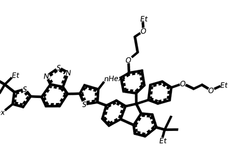 CCCCCCc1cc(-c2ccc(-c3cc(CCCCCC)c(C(C)(CC)CC)s3)c3nsnc23)sc1-c1ccc2c(c1)C(c1ccc(OCCOCC)cc1)(c1ccc(OCCOCC)cc1)c1cc(C(C)(C)CC)ccc1-2